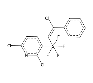 FS(F)(F)(F)(/C=C(/Cl)c1ccccc1)c1ccc(Cl)nc1Cl